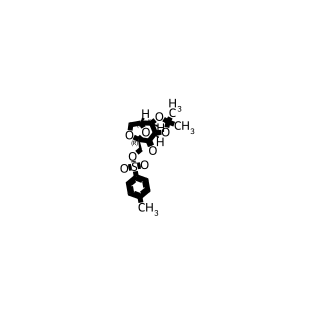 Cc1ccc(S(=O)(=O)OC[C@@]23OC[C@@H](O2)[C@H]2OC(C)(C)O[C@H]2C3=O)cc1